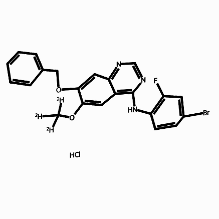 Cl.[2H]C([2H])([2H])Oc1cc2c(Nc3ccc(Br)cc3F)ncnc2cc1OCc1ccccc1